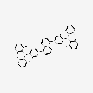 c1cc2c3c(c1)Oc1cc(-c4cccc5c(-c6cc7c8c(c6)Sc6cccc9c6B8c6c(cccc6S7)S9)cccc45)cc4c1B3c1c(cccc1O4)O2